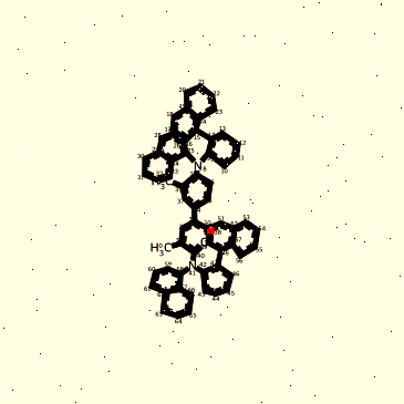 Cc1cc(-c2ccc(N(c3ccccc3-c3cccc4ccccc34)c3cccc4ccccc34)c(C)c2)ccc1N(c1ccccc1-c1cccc2ccccc12)c1cccc2ccccc12